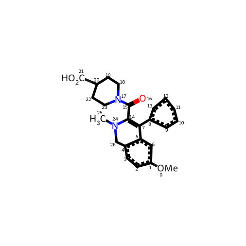 COc1ccc2c(c1)C(c1ccccc1)=C(C(=O)N1CCC(C(=O)O)CC1)N(C)C2